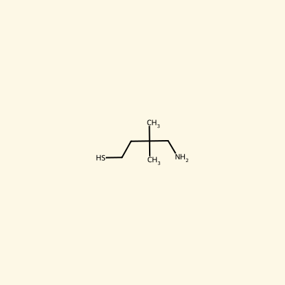 CC(C)(CN)CCS